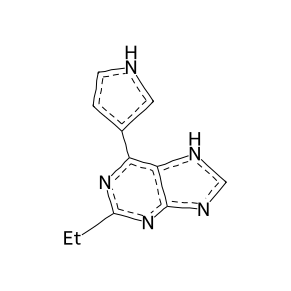 CCc1nc(-c2cc[nH]c2)c2[nH]cnc2n1